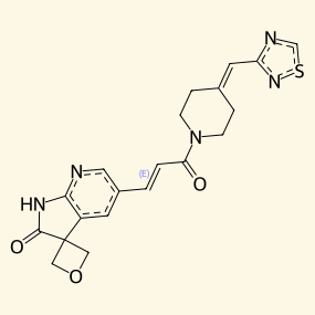 O=C(/C=C/c1cnc2c(c1)C1(COC1)C(=O)N2)N1CCC(=Cc2ncsn2)CC1